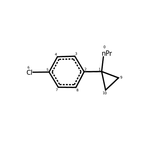 CCCC1(c2ccc(Cl)cc2)CC1